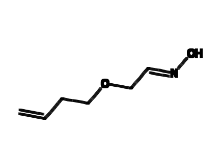 C=CCCOC/C=N/O